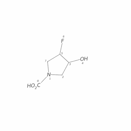 O=C(O)N1CC(O)C(F)C1